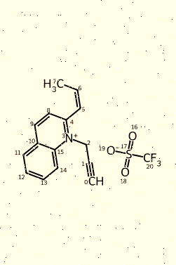 C#CC[n+]1c(/C=C\C)ccc2ccccc21.O=S(=O)([O-])C(F)(F)F